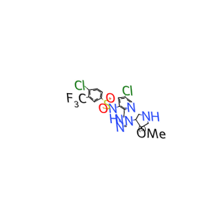 CO[C@H]1CNCC1n1cnnc1-c1ncc(Cl)cc1NS(=O)(=O)c1ccc(Cl)c(C(F)(F)F)c1